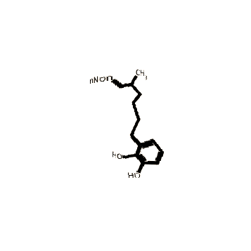 CCCCCCCCCCC(C)CCCCc1cccc(O)c1O